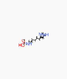 O=C(O)NCC=CCCCc1c[nH]cn1